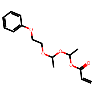 C=CC(=O)OC(C)OC(C)OCCOc1ccccc1